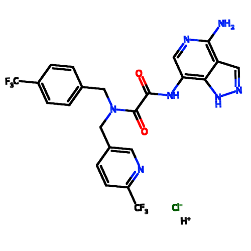 Nc1ncc(NC(=O)C(=O)N(Cc2ccc(C(F)(F)F)cc2)Cc2ccc(C(F)(F)F)nc2)c2[nH]ncc12.[Cl-].[H+]